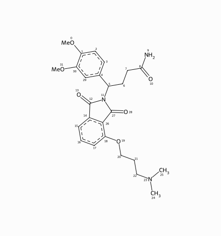 COc1ccc(C(CCC(N)=O)N2C(=O)c3cccc(OCCCN(C)C)c3C2=O)cc1OC